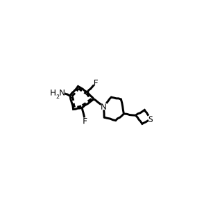 Nc1cc(F)c(N2CCC(C3CSC3)CC2)c(F)c1